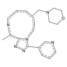 Cc1ncccc(CN2CCOCC2)ccn2c(-c3cccnc3)nnc12